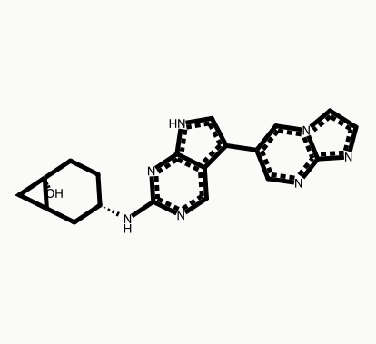 O[C@]12CC[C@H](Nc3ncc4c(-c5cnc6nccn6c5)c[nH]c4n3)CC1C2